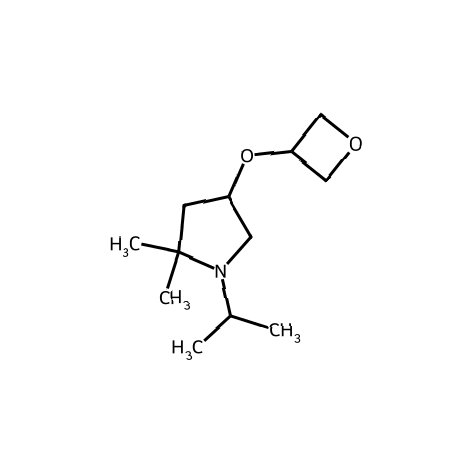 CC(C)N1CC(OC2COC2)CC1(C)C